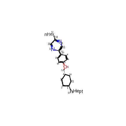 CCCCCCC[C@H]1CC[C@H](COc2ccc(-c3cnc(CCCCCC)cn3)cc2)CC1